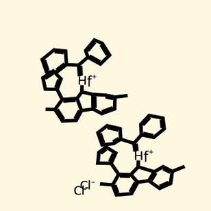 Cc1ccc2c(c1)[CH]([Hf+]=[C](c1ccccc1)c1ccccc1)c1c-2ccc(C)c1C1=CC=CC1.Cc1ccc2c(c1)[CH]([Hf+]=[C](c1ccccc1)c1ccccc1)c1c-2ccc(C)c1C1=CC=CC1.[Cl-].[Cl-]